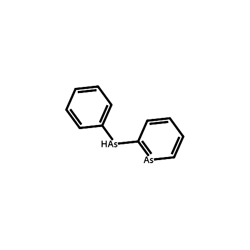 C1=C[As]=C([AsH]c2ccccc2)C=C1